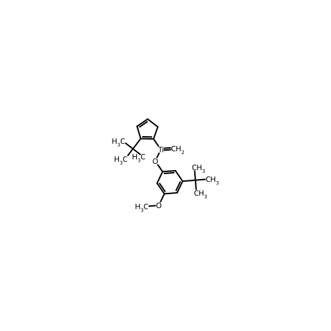 [CH2]=[Ti]([O]c1cc(OC)cc(C(C)(C)C)c1)[C]1=C(C(C)(C)C)C=CC1